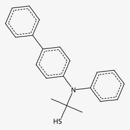 CC(C)(S)N(c1ccccc1)c1ccc(-c2ccccc2)cc1